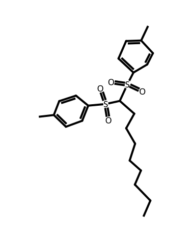 CCCCCCCCC(S(=O)(=O)c1ccc(C)cc1)S(=O)(=O)c1ccc(C)cc1